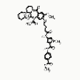 COC(=O)c1ccc(NC(=O)c2cc(NC(=O)CCCOc3cc4c(cc3OC)C(=O)N3CCCC[C@H]3C(OC3CCCCO3)N4C(=O)O)cn2C)cc1